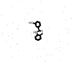 O=C(Nc1ccccc1I)c1cccc(O)c1